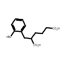 CCCCc1ccccc1CC(CCCC(=O)O)C(=O)O